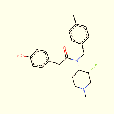 Cc1ccc(CN(C(=O)Cc2ccc(O)cc2)[C@H]2CCN(C)C[C@H]2F)cc1